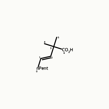 CCCCCC=CC(C)(C)C(=O)O